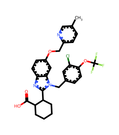 Cc1ccc(COc2ccc3nc(C4CCCCC4C(=O)O)n(Cc4ccc(OC(F)(F)F)c(Cl)c4)c3c2)nc1